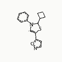 [C]1=C(c2ccno2)SC(C2CCC2)N1c1ccccc1